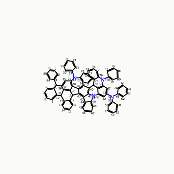 c1ccc(C2c3ccccc3C3c4ccccc4C4c5c(c(N(c6ccccc6)c6ccccc6)cc2c53)-c2cc3c5c(c24)c2ccccc2n5-c2cc(N(c4ccccc4)c4ccccc4)cc4c2C3c2ccccc2N4c2ccccc2)cc1